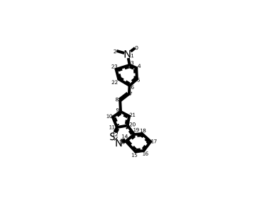 CN(C)c1ccc(C=Cc2cc3snc4ccccc4c-3c2)cc1